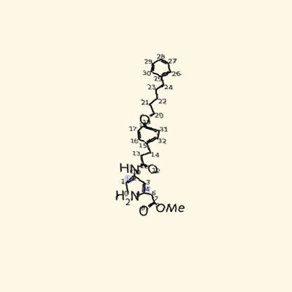 C/C=C(\C=C(/N)CC(=O)OC)NC(=O)CCc1ccc(OCCCCCc2ccccc2)cc1